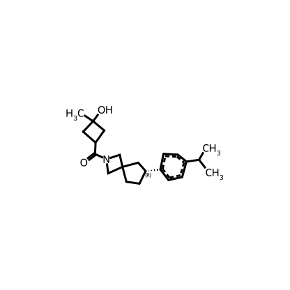 CC(C)c1ccc([C@@H]2CCC3(C2)CN(C(=O)C2CC(C)(O)C2)C3)cc1